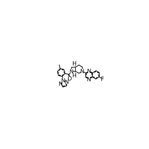 Cc1ccc(-n2nccn2)c(C(=O)N2C[C@H]3CCN(c4cnc5cc(F)ccc5n4)C[C@H]32)c1